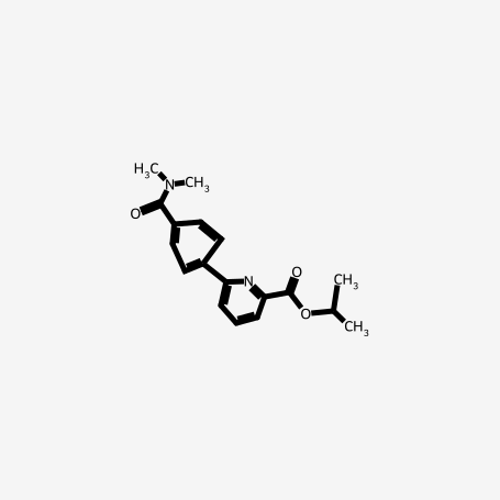 CC(C)OC(=O)c1cccc(-c2ccc(C(=O)N(C)C)cc2)n1